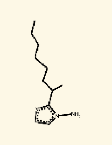 CCCCCCC(C)c1nccn1N